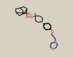 C[C@]1(OOC2(O)C3CC4CC(C3)CC2C4)CC[C@@H](c2ccc(OCCN3CCSCC3)cc2)CC1